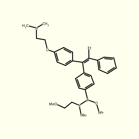 CCCCN(CCOC)B(OCCC)c1ccc(C(=C(CC)c2ccccc2)c2ccc(OCCN(C)C)cc2)cc1